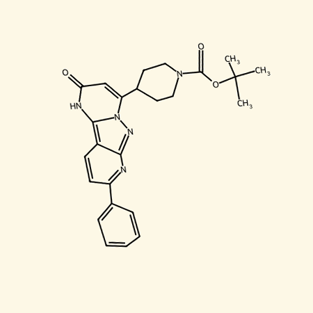 CC(C)(C)OC(=O)N1CCC(c2cc(=O)[nH]c3c4ccc(-c5ccccc5)nc4nn23)CC1